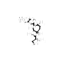 COC(=O)[C@H](CC(C)C)NC(=O)N1CC(O)[C@@H](NC(=O)[C@@H](N)CC(C)C)CC[C@H]1C